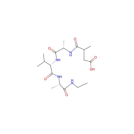 CCNC(=O)[C@H](C)NC(=O)[C@@H](NC(=O)[C@H](C)NC(=O)C(C)CC(=O)O)C(C)C